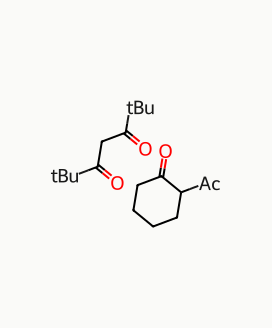 CC(=O)C1CCCCC1=O.CC(C)(C)C(=O)CC(=O)C(C)(C)C